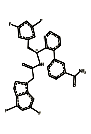 NC(=O)c1cccc(-c2cccnc2[C@H](Cc2cc(F)cc(F)c2)NC(=O)Cn2ccc3c(F)cc(F)cc32)c1